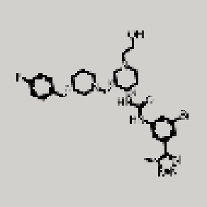 Cn1nnnc1-c1cc(Br)cc(NC(=O)N[C@@H]2CCN(CCO)C[C@H]2CN2CCC[C@@H](Cc3ccc(F)cc3)C2)c1